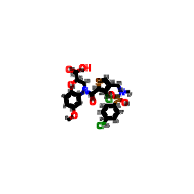 COc1ccc2c(c1)N(C(=O)c1scc(CN(C)S(=O)(=O)c3ccc(Cl)cc3)c1Cl)CC(C(=O)O)O2